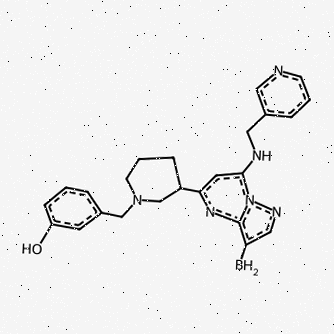 Bc1cnn2c(NCc3cccnc3)cc(C3CCCN(Cc4cccc(O)c4)C3)nc12